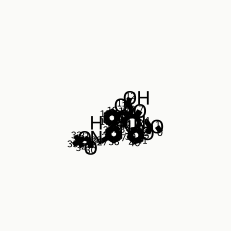 COC(=O)CN1C(=O)C(CC(=O)O)(Cc2ccccc2)C(=O)N(c2ccc(CNC(=O)OC(C)(C)C)cc2)c2ccccc21